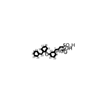 O=P(O)(O)C(CCCc1cccc(Oc2ccccc2Cc2ccccc2)c1)S(=O)(=O)O